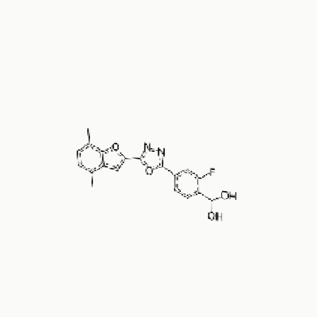 Cc1ccc(C)c2oc(-c3nnc(-c4ccc(C(O)O)c(F)c4)o3)cc12